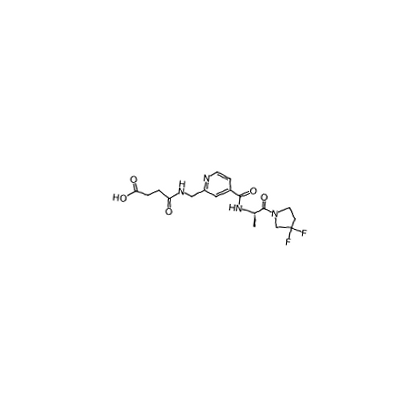 C[C@@H](NC(=O)c1ccnc(CNC(=O)CCC(=O)O)c1)C(=O)N1CCC(F)(F)C1